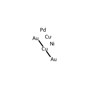 [Au][Cu][Au].[Cu].[Ni].[Pd]